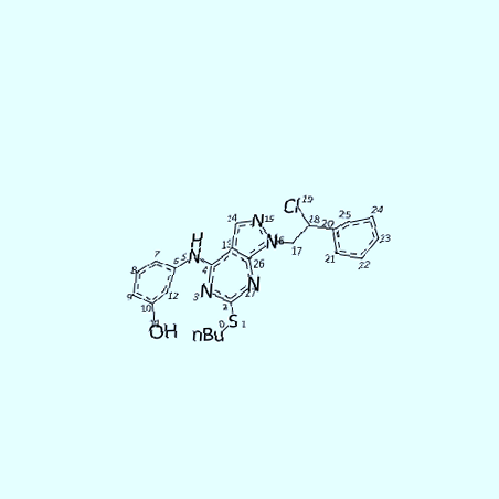 CCCCSc1nc(Nc2cccc(O)c2)c2cnn(CC(Cl)c3ccccc3)c2n1